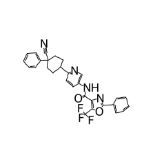 N#CC1(c2ccccc2)CCC(c2ccc(NC(=O)c3nc(-c4ccccc4)oc3C(F)(F)F)cn2)CC1